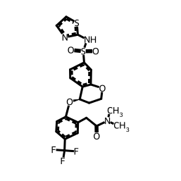 CN(C)C(=O)Cc1cc(C(F)(F)F)ccc1O[C@@H]1CCOc2cc(S(=O)(=O)Nc3nccs3)ccc21